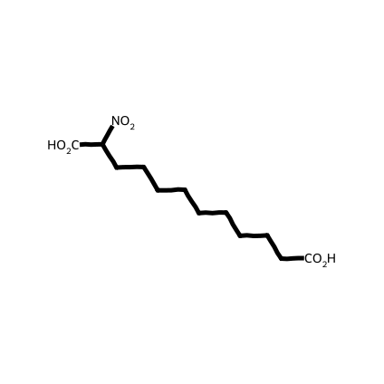 O=C(O)CCCCCCCCCC(C(=O)O)[N+](=O)[O-]